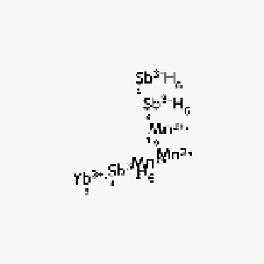 [Mn+2].[Mn+2].[Mn+2].[SbH6-3].[SbH6-3].[SbH6-3].[Yb+3]